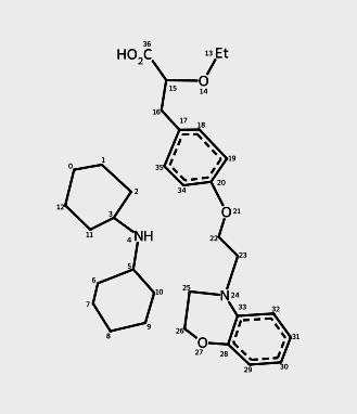 C1CCC(NC2CCCCC2)CC1.CCOC(Cc1ccc(OCCN2CCOc3ccccc32)cc1)C(=O)O